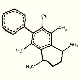 Cc1c(C)c2c(c(C)c1-c1ccccc1)C(C)CCC2N